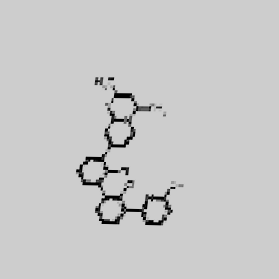 C=C1C=C(C)N=C2C=C(c3cccc(-c4cccc(-c5cccc(O)n5)c4Cl)c3Cl)C=CN12